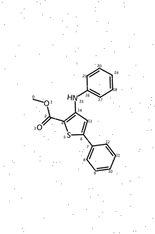 COC(=O)c1sc(-c2ccccc2)cc1Nc1ccccc1